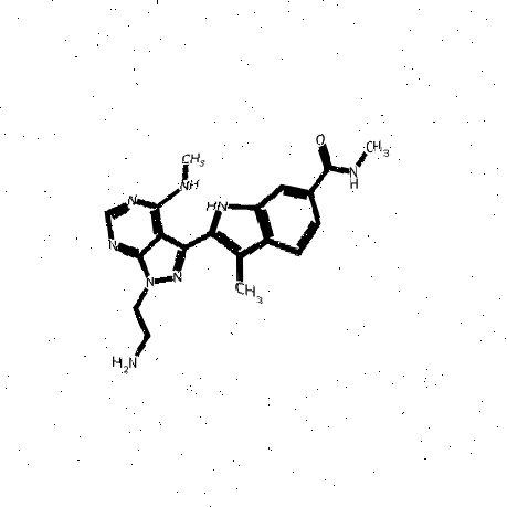 CNC(=O)c1ccc2c(C)c(-c3nn(CCN)c4ncnc(NC)c34)[nH]c2c1